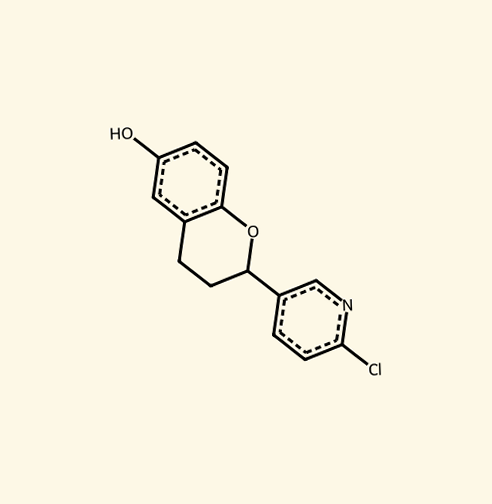 Oc1ccc2c(c1)CCC(c1ccc(Cl)nc1)O2